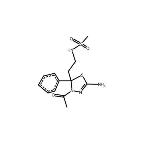 CC(=O)N1N=C(N)SC1(CCNS(C)(=O)=O)c1ccccc1